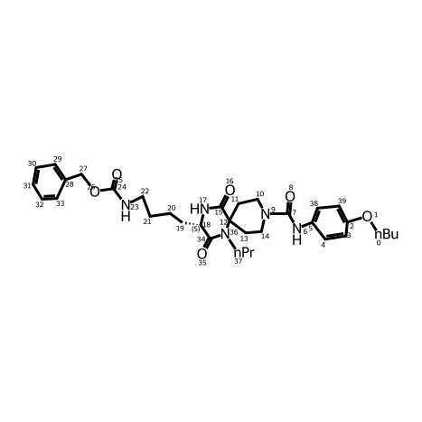 CCCCOc1ccc(NC(=O)N2CCC3(CC2)C(=O)N[C@@H](CCCCNC(=O)OCc2ccccc2)C(=O)N3CCC)cc1